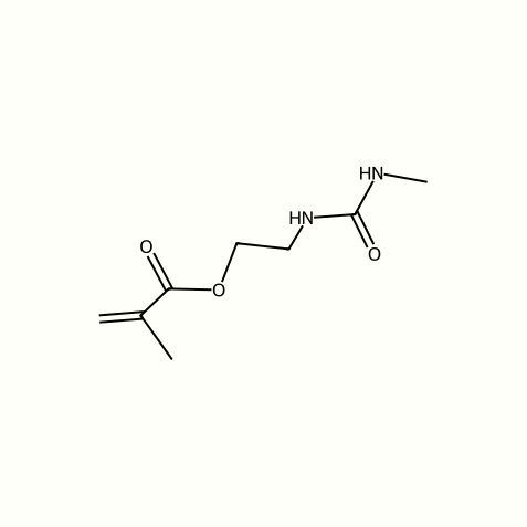 C=C(C)C(=O)OCCNC(=O)NC